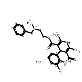 CC1=C(C(=O)O)C(c2cccc(Cl)c2Cl)C(C(=O)OCCN(C)Cc2ccccc2)=C(C)N1.Cl